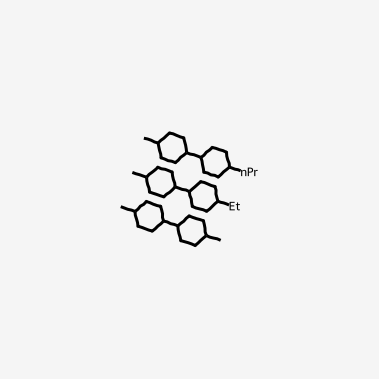 CC1CCC(C2CCC(C)CC2)CC1.CCC1CCC(C2CCC(C)CC2)CC1.CCCC1CCC(C2CCC(C)CC2)CC1